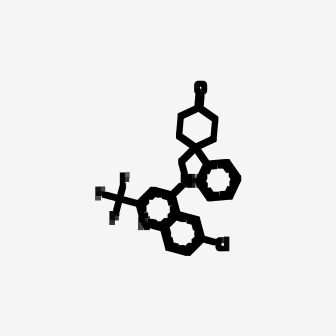 O=C1CCC(CNc2cc(C(F)(F)F)nc3ccc(Cl)cc23)(c2ccccc2)CC1